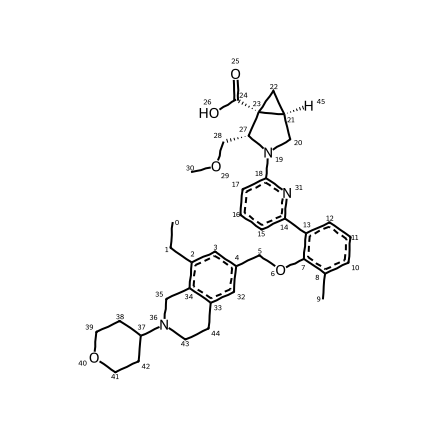 CCc1cc(COc2c(C)cccc2-c2cccc(N3C[C@@H]4C[C@]4(C(=O)O)[C@H]3COC)n2)cc2c1CN(C1CCOCC1)CC2